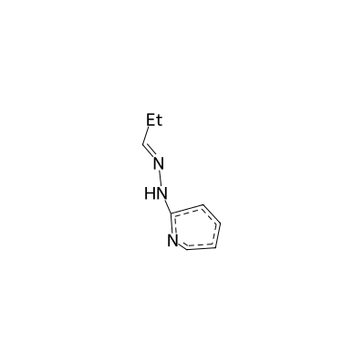 CCC=NNc1ccccn1